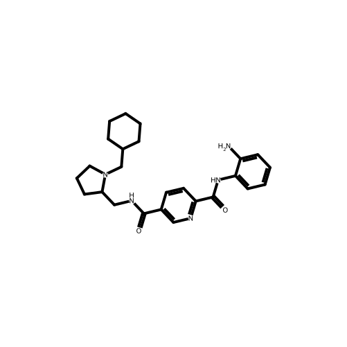 Nc1ccccc1NC(=O)c1ccc(C(=O)NCC2CCCN2CC2CCCCC2)cn1